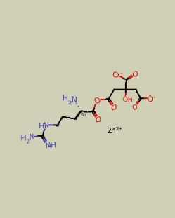 N=C(N)NCCC[C@H](N)C(=O)OC(=O)CC(O)(CC(=O)[O-])C(=O)[O-].[Zn+2]